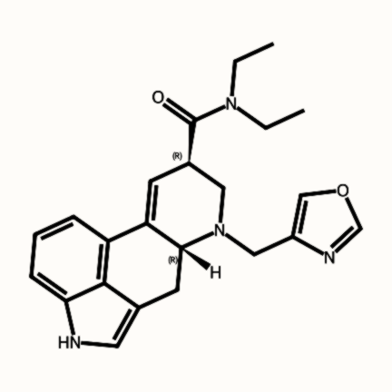 CCN(CC)C(=O)[C@@H]1C=C2c3cccc4[nH]cc(c34)C[C@H]2N(Cc2cocn2)C1